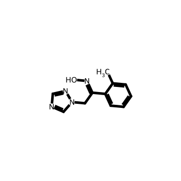 Cc1ccccc1C(Cn1cncn1)=NO